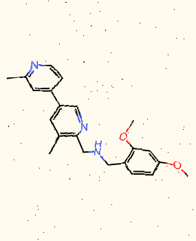 COc1ccc(CNCc2ncc(-c3ccnc(C)c3)cc2C)c(OC)c1